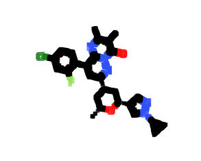 Cc1nc2c(-c3ccc(Cl)cc3F)cc([C@H]3C[C@@H](C)O[C@@H](c4cnn(C5CC5)c4)C3)nn2c(=O)c1C